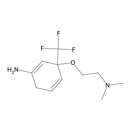 CN(C)CCOC1(C(F)(F)F)C=CCC(N)=C1